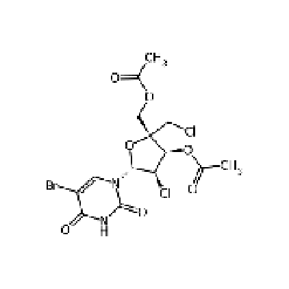 CC(=O)OC[C@]1(CCl)O[C@@H](n2cc(Br)c(=O)[nH]c2=O)[C@H](Cl)[C@@H]1OC(C)=O